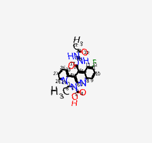 CCN(C(=O)O)c1nc2ccc(F)cc2c(C(=O)NNC(C)=O)c1-c1ccccn1